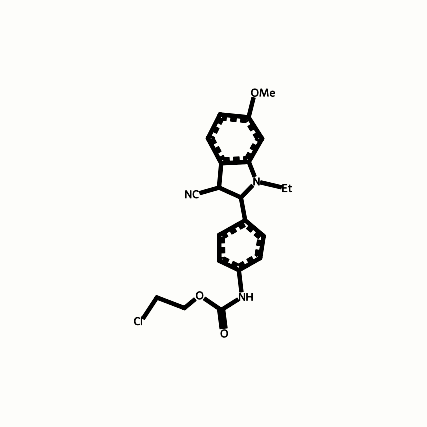 CCN1c2cc(OC)ccc2C(C#N)C1c1ccc(NC(=O)OCCCl)cc1